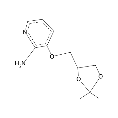 CC1(C)OCC(COc2cccnc2N)O1